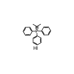 CC(C)[PH](c1ccccc1)(c1ccccc1)c1ccccc1.I